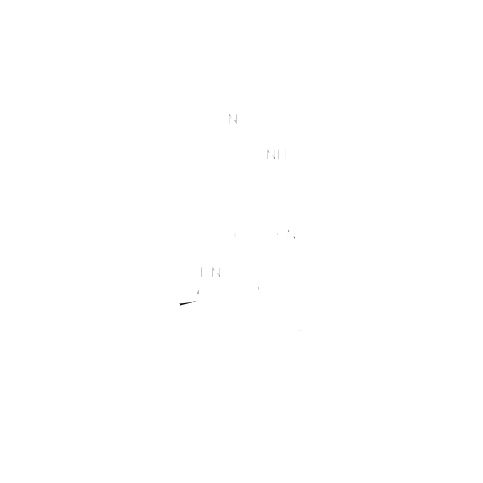 C[C@@H](NC(=O)/C(C#N)=C/c1c[nH]c2ncccc12)c1cccc(F)c1